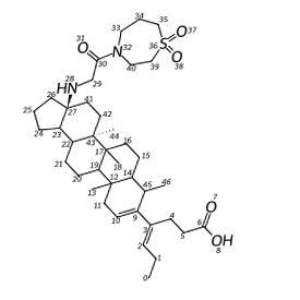 CC/C=C(\CCC(=O)O)C1=CCC2(C)C(CCC3(C)C2CCC2C4CCC[C@]4(NCC(=O)N4CCCS(=O)(=O)CC4)CC[C@]23C)C1C